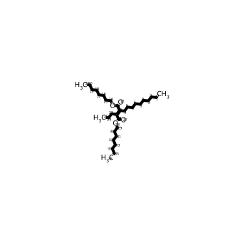 CCCCCCCCCCC(C(=O)OCCCCCCCC)=C(CCC)C(=O)OCCCCCCCC